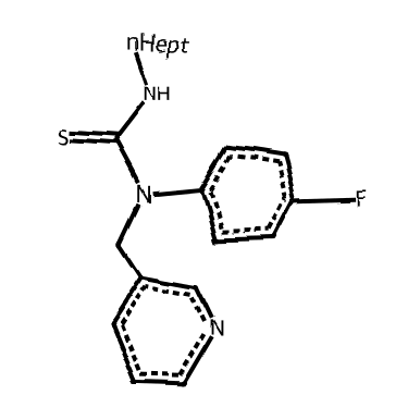 CCCCCCCNC(=S)N(Cc1cccnc1)c1ccc(F)cc1